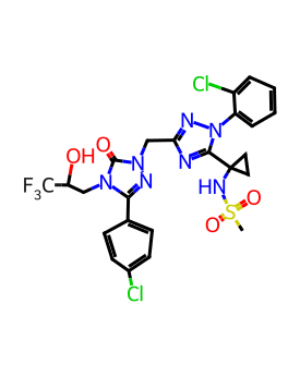 CS(=O)(=O)NC1(c2nc(Cn3nc(-c4ccc(Cl)cc4)n(CC(O)C(F)(F)F)c3=O)nn2-c2ccccc2Cl)CC1